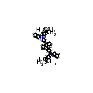 C[Si](C)(C)c1ccc(N(c2ccc(-c3c4ccccc4c(-c4ccc(N(c5ccc([Si](C)(C)C)cc5)c5ccc6ccccc6c5)cc4)c4ccccc34)cc2)c2ccc3ccccc3c2)cc1